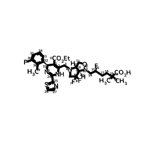 CCOC(=O)C1=C(CN2CC(F)(F)[C@H]3[C@@H]2CON3C[C@@H](F)CCC(C)(C)C(=O)O)NC(c2nccs2)=N[C@H]1c1cccc(F)c1C